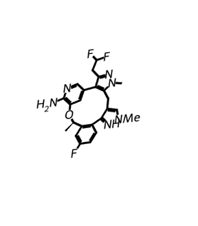 CN/C=C1/Cc2c(c(CC(F)F)nn2C)-c2cnc(N)c(c2)O[C@H](C)c2cc(F)ccc2C1=N